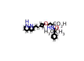 CC(C)(C(=O)NC(CCO[C@H]1C[C@H](CCc2ccc3c(n2)NCCC3)C1)C(=O)O)C1CCCCC1